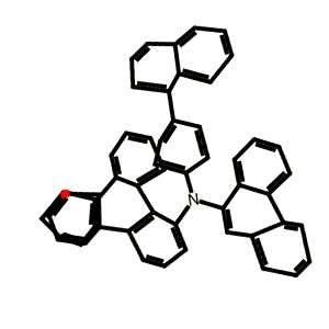 c1ccc(-c2ccccc2-c2c(-c3ccccc3)cccc2N(c2ccc(-c3cccc4ccccc34)cc2)c2cc3ccccc3c3ccccc23)cc1